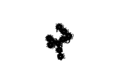 c1ccc(-c2ccc(-c3nc(-c4ccc5c(c4)oc4cccc(-c6ccc(-c7ccccn7)cc6)c45)nc(-c4cc5ccccc5c5ccccc45)n3)cc2)cc1